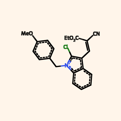 CCOC(=O)/C(C#N)=C\c1c(Cl)n(Cc2ccc(OC)cc2)c2ccccc12